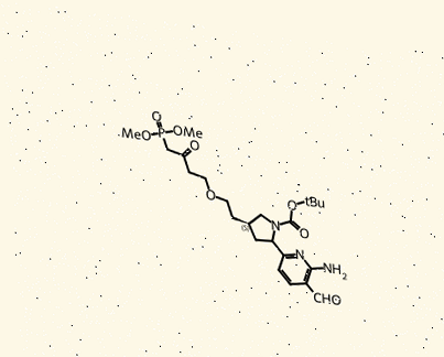 COP(=O)(CC(=O)CCOCC[C@@H]1CC(c2ccc(C=O)c(N)n2)N(C(=O)OC(C)(C)C)C1)OC